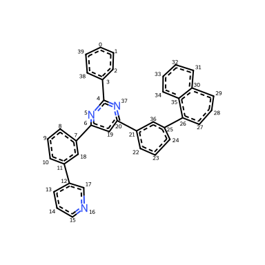 c1ccc(-c2nc(-c3cccc(-c4cccnc4)c3)cc(-c3cccc(-c4cccc5ccccc45)c3)n2)cc1